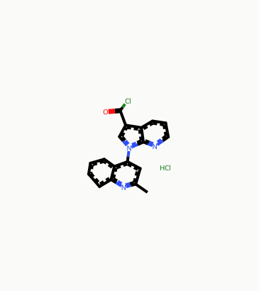 Cc1cc(-n2cc(C(=O)Cl)c3cccnc32)c2ccccc2n1.Cl